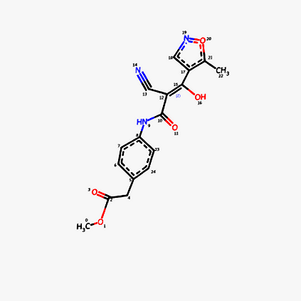 COC(=O)Cc1ccc(NC(=O)/C(C#N)=C(\O)c2cnoc2C)cc1